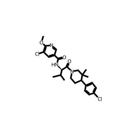 COc1ncc(C(=O)N[C@@H](C(=O)N2CCC(c3ccc(Cl)cc3)C(C)(C)C2)C(C)C)cc1Cl